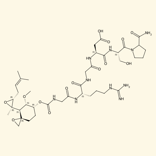 CO[C@@H]1[C@H](OC(=O)NCC(=O)N[C@@H](CCCNC(=N)N)C(=O)NCC(=O)N[C@@H](CC(=O)O)C(=O)N[C@@H](CO)C(=O)N2CCCC2C(N)=O)CC[C@]2(CO2)[C@H]1[C@@]1(C)O[C@@H]1CC=C(C)C